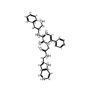 O=C(Cn1c(-c2ccccc2)cnc(NC(CO)Cc2ccccc2)c1=O)NCc1cc2cnccc2[nH]1